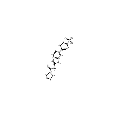 CCS(=O)(=O)N1CC=C(c2ccc3nc(NC(=O)[C@H]4CCNC4)sc3c2)CC1